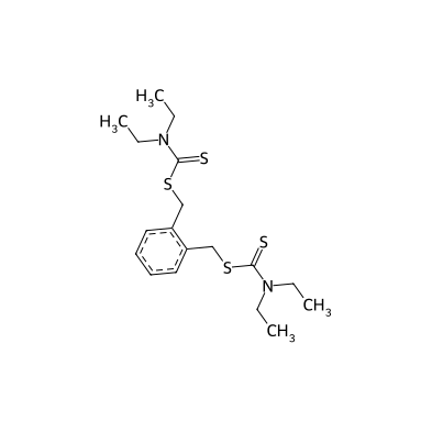 CCN(CC)C(=S)SCc1ccccc1CSC(=S)N(CC)CC